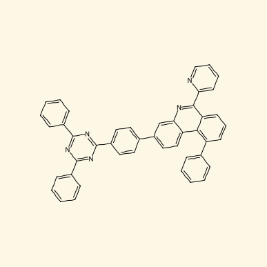 c1ccc(-c2nc(-c3ccccc3)nc(-c3ccc(-c4ccc5c(c4)nc(-c4ccccn4)c4cccc(-c6ccccc6)c45)cc3)n2)cc1